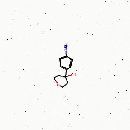 [C-]#[N+]c1ccc(C2(O)CCOCC2)cc1